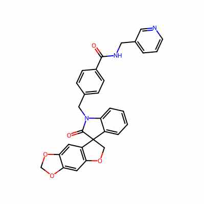 O=C(NCc1cccnc1)c1ccc(CN2C(=O)C3(COc4cc5c(cc43)OCO5)c3ccccc32)cc1